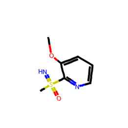 COc1cccnc1S(C)(=N)=O